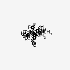 Cn1nc(NS(C)(=O)=O)c2c(Cl)ccc(-n3c([C@H](Cc4cc(F)cc(F)c4)NC(=O)Cn4nc(C(F)F)c5c4C(F)(F)[C@@H]4C[C@H]54)nc4cc(OC5CCOCC5)ccc4c3=O)c21